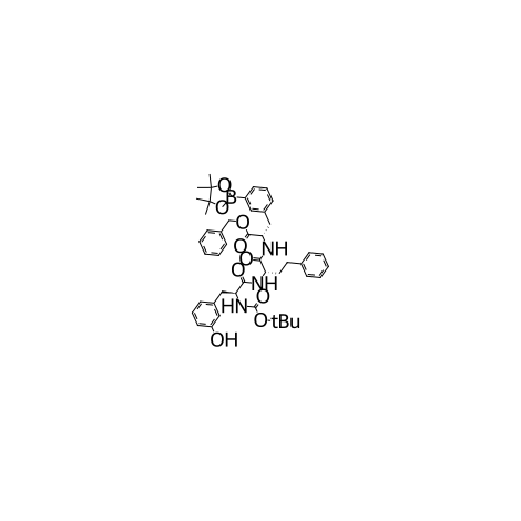 CC(C)(C)OC(=O)N[C@@H](Cc1cccc(O)c1)C(=O)N[C@@H](CCc1ccccc1)C(=O)N[C@@H](Cc1cccc(B2OC(C)(C)C(C)(C)O2)c1)C(=O)OCc1ccccc1